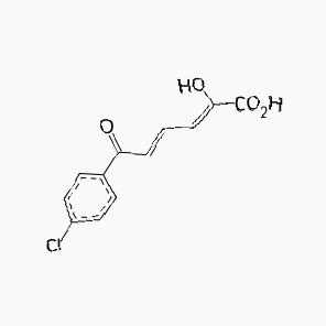 O=C(O)/C(O)=C/C=C/C(=O)c1ccc(Cl)cc1